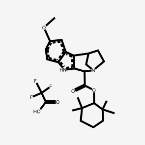 COc1ccc2[nH]c3c(c2c1)C1CCN(C1)C3C(=O)OC1C(C)(C)CCCC1(C)C.O=C(O)C(F)(F)F